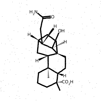 C[C@@]12CCC[C@@](C)(C(=O)O)[C@H]1CC[C@@]13CC[C@@H](C[C@@H]21)[C@H](CC(N)=O)[C@H]3O